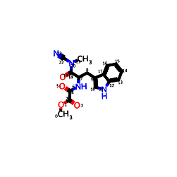 COC(=O)C(=O)NC(Cc1c[nH]c2ccccc12)C(=O)N(C)C#N